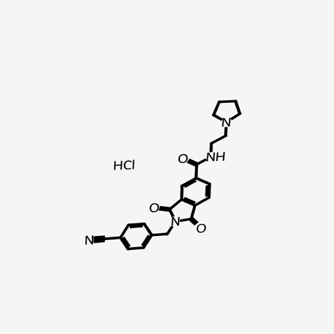 Cl.N#Cc1ccc(CN2C(=O)c3ccc(C(=O)NCCN4CCCC4)cc3C2=O)cc1